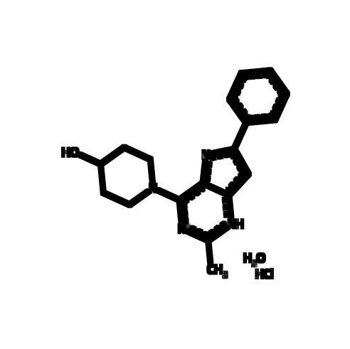 Cc1nc(N2CCC(O)CC2)c2nc(-c3ccccc3)cc-2[nH]1.Cl.O